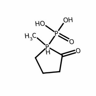 C[PH]1(P(=O)(O)O)CCCC1=O